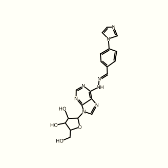 OCC1OC(n2cnc3c(N/N=C/c4ccc(-n5ccnc5)cc4)ncnc32)C(O)C1O